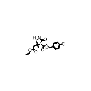 CCOC(=O)CC(C)(C)N(C(N)=O)C(=O)NCc1ccc(Cl)cc1